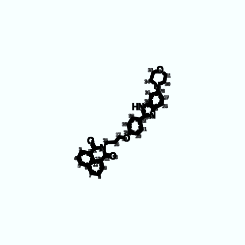 O=C1c2cccc3cccc(c23)C(=O)N1CCCOc1ccc(-c2nc3ccc(N4CCOCC4)cc3[nH]2)cc1